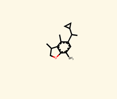 Bc1cc(C(C)C2CC2)c(C)c2c1OCC2C